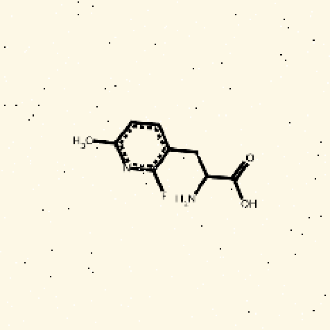 Cc1ccc(CC(N)C(=O)O)c(F)n1